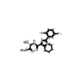 CNC(=O)[C@@H](NC(=O)c1nc(-c2cc(F)ccc2F)n2c1CCCC2)C(C)(C)C